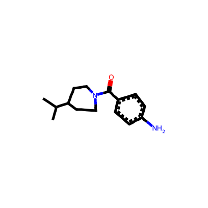 CC(C)C1CCN(C(=O)c2ccc(N)cc2)CC1